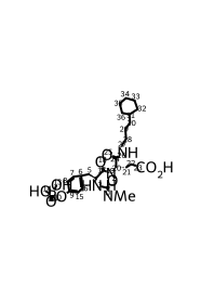 CNC(=O)N[C@@H](Cc1ccc(OP(=O)(O)O)cc1)C(=O)N[C@@H](CCC(=O)O)C(=O)NCCCCC1CCCCC1